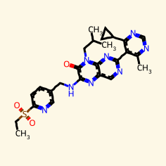 CCS(=O)(=O)c1ccc(CNc2nc3cnc(-c4c(C)ncnc4C4CC4)nc3n(CC(C)C)c2=O)cn1